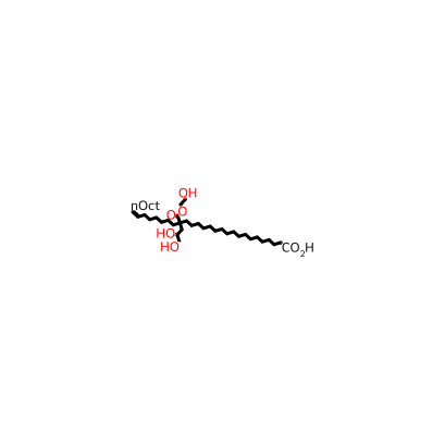 CCCCCCCC/C=C\CCCCCCC(CCCCCCCCCCCCCCCCCC(=O)O)(CC(O)CO)C(=O)OCCO